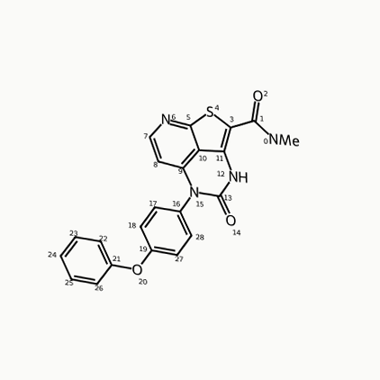 CNC(=O)c1sc2nccc3c2c1NC(=O)N3c1ccc(Oc2ccccc2)cc1